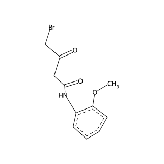 COc1ccccc1NC(=O)CC(=O)CBr